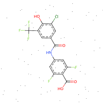 O=C(Nc1cc(F)c(C(=O)O)c(F)c1)c1cc(Cl)c(O)c(C(F)(F)F)c1